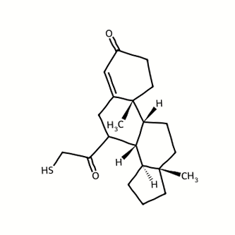 C[C@@]12CCC[C@H]1[C@@H]1C(C(=O)CS)CC3=CC(=O)CC[C@]3(C)[C@@H]1CC2